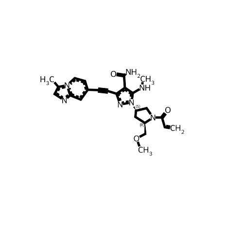 C=CC(=O)N1C[C@@H](n2nc(C#Cc3ccn4c(C)cnc4c3)c(C(N)=O)c2NC)C[C@@H]1COC